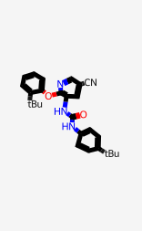 CC(C)(C)c1ccc(NC(=O)Nc2cc(C#N)cnc2Oc2ccccc2C(C)(C)C)cc1